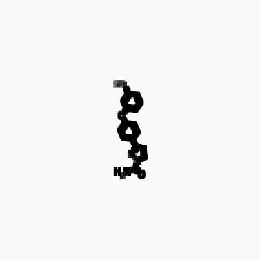 NC(=O)n1ccc(-c2ccc(Oc3cccc([123I])c3)cc2)n1